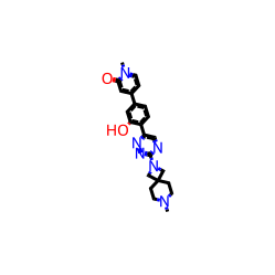 CN1CCC2(CC1)CN(c1ncc(-c3ccc(-c4ccn(C)c(=O)c4)cc3O)nn1)C2